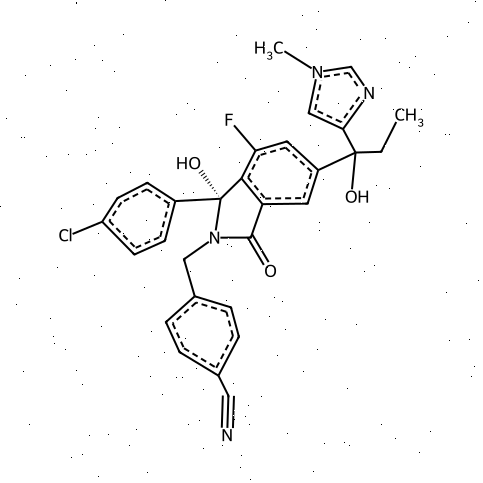 CCC(O)(c1cc(F)c2c(c1)C(=O)N(Cc1ccc(C#N)cc1)[C@@]2(O)c1ccc(Cl)cc1)c1cn(C)cn1